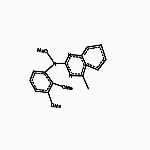 COc1cccc(N(OC)c2nc(C)c3ccccc3n2)c1OC